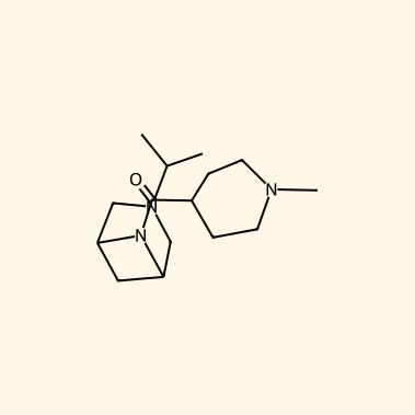 CC(C)N1CC2CC(C1)N2C(=O)C1CCN(C)CC1